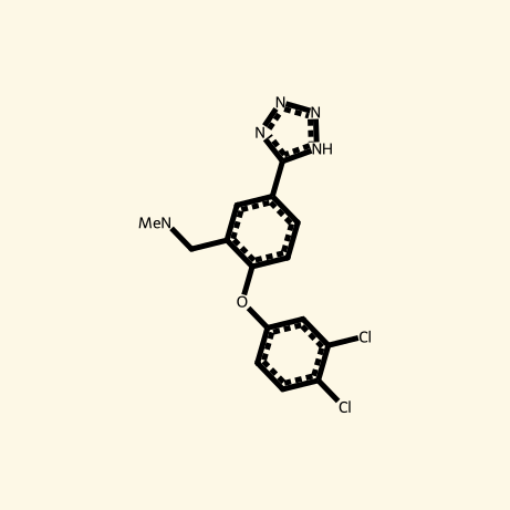 CNCc1cc(-c2nnn[nH]2)ccc1Oc1ccc(Cl)c(Cl)c1